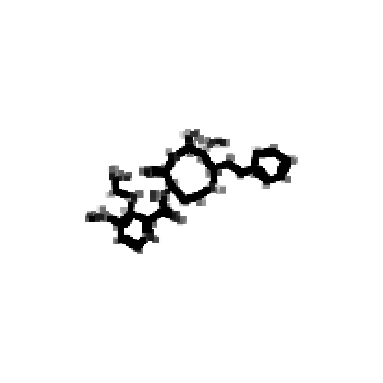 CCCC[C@H]1[C@H](C)OC(=O)[C@@H](NC(=O)c2nccc(OC)c2OCOC(C)=O)CCO[C@@H]1CCc1ccccc1